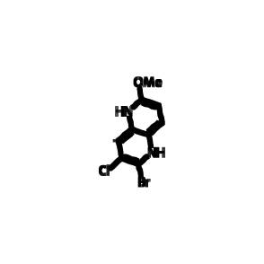 COC1=CC=C2NC(Br)=C(Cl)[C]=C2N1